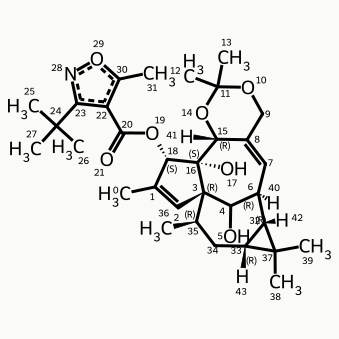 CC1=C[C@]23C(O)[C@@H](C=C4COC(C)(C)O[C@H]4[C@]2(O)[C@H]1OC(=O)c1c(C(C)(C)C)noc1C)[C@H]1[C@@H](C[C@H]3C)C1(C)C